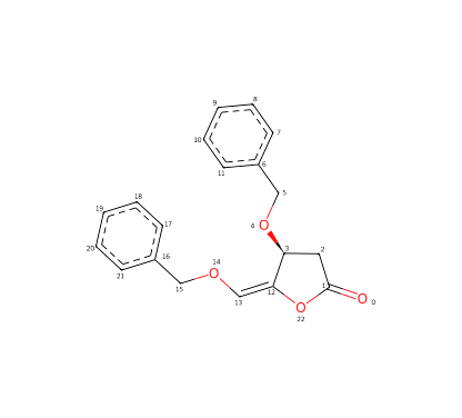 O=C1C[C@H](OCc2ccccc2)/C(=C\OCc2ccccc2)O1